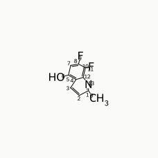 Cc1ccc2c(O)cc(F)c(F)c2n1